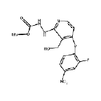 CC(C)(C)OC(=O)NNc1nccc(Oc2ccc([N+](=O)[O-])cc2F)c1CO